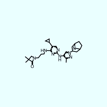 Cc1nn(C2CC3CCC(C2)N3C)cc1Nc1ncc(C2CC2)c(NCCCN2CC(C)(C)C2=O)n1